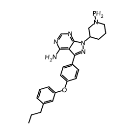 CCCc1cccc(Oc2ccc(-c3nn(C4CCCN(P)C4)c4ncnc(N)c34)cc2)c1